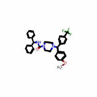 COc1ccc(C(c2ccc(C(F)(F)F)cc2)N2CCN(C(=O)NC(c3ccccc3)c3ccccc3)CC2)cc1